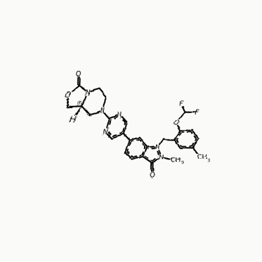 Cc1ccc(OC(F)F)c(Cn2c3cc(-c4cnc(N5CCN6C(=O)OC[C@H]6C5)nc4)ccc3c(=O)n2C)c1